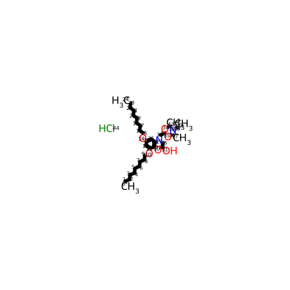 CCCCCCCCCCOc1cc(OCCCCCCCCCC)cc(N(CC(=O)O)CC(=O)OC(C)N(CC)CC)c1.Cl